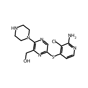 Nc1nccc(Sc2cnc(N3CCNCC3)c(CO)n2)c1Cl